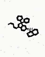 C/C=C\C=C/C1=CC(c2ccccc2)(c2ccccc2)c2cc(Nc3cccc4ccccc34)ccc21